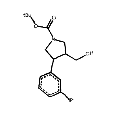 CC(C)c1cccc(C2CN(C(=O)OC(C)(C)C)CC2CO)c1